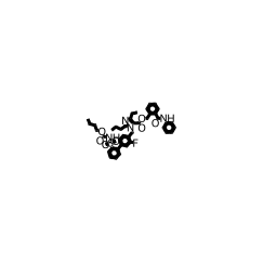 CCCCOC(=O)NS(=O)(=O)c1ccccc1-c1ccc(Cn2c(CCC)nc(CC)c2C(=O)OCc2ccccc2C(=O)Nc2ccccc2)c(F)c1